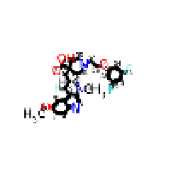 COc1ccc2ncc(N(C)C)c([C@H](F)CCC3(C(=O)O)CCN(CCOc4cc(F)cc(F)c4)CC3)c2c1